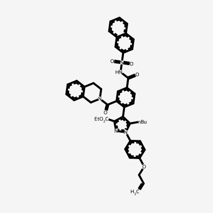 C=CCOc1ccc(-n2nc(C(=O)OCC)c(-c3ccc(C(=O)NS(=O)(=O)c4ccc5ccccc5c4)cc3C(=O)N3CCc4ccccc4C3)c2CCCC)cc1